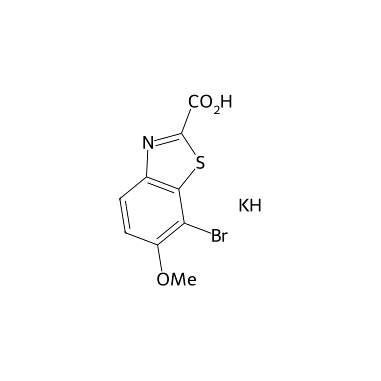 COc1ccc2nc(C(=O)O)sc2c1Br.[KH]